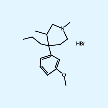 Br.CCCC1(c2cccc(OC)c2)CCN(C)CC1C